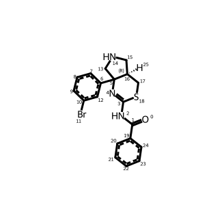 O=C(NC1=NC2(c3cccc(Br)c3)CNC[C@H]2CS1)c1ccccc1